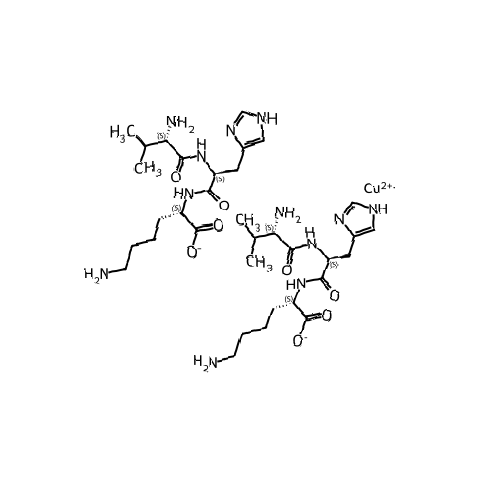 CC(C)[C@H](N)C(=O)N[C@@H](Cc1c[nH]cn1)C(=O)N[C@@H](CCCCN)C(=O)[O-].CC(C)[C@H](N)C(=O)N[C@@H](Cc1c[nH]cn1)C(=O)N[C@@H](CCCCN)C(=O)[O-].[Cu+2]